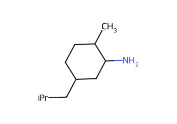 CC(C)CC1CCC(C)C(N)C1